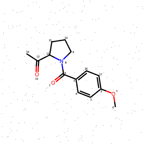 COc1ccc(C(=O)N2CCCC2C(C)=O)cc1